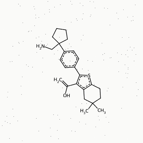 C=C(O)c1c(-c2ccc(C3(CN)CCCC3)cc2)sc2c1CC(C)(C)CC2